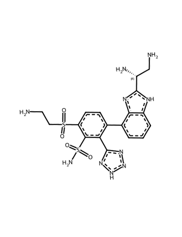 NCCS(=O)(=O)c1ccc(-c2cccc3[nH]c([C@H](N)CN)nc23)c(-c2nn[nH]n2)c1S(N)(=O)=O